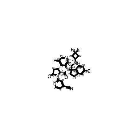 N#Cc1ccnc(N2C(=O)CC[C@H]2C(=O)N(c2cncc(F)c2)C2(C(=O)NC3CC(F)(F)C3)CCc3cc(Cl)ccc32)c1